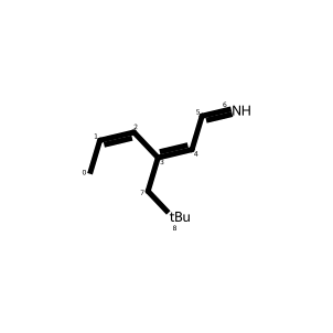 C/C=C\C(=C/C=N)CC(C)(C)C